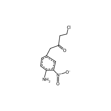 Nc1ccc(CC(=O)CCCl)cc1[N+](=O)[O-]